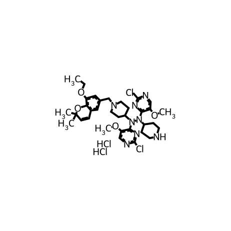 CCOc1cc(CN2CCC(N(c3nc(Cl)ncc3OC)N(c3nc(Cl)ncc3OC)C3CCNCC3)CC2)cc2c1OC(C)(C)C=C2.Cl.Cl